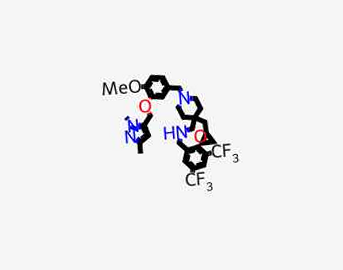 COc1ccc(CN2CCC(CC3CC3)(C(=O)NCc3cc(C(F)(F)F)cc(C(F)(F)F)c3)CC2)cc1OCc1cc(C)nn1C